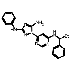 CC[C@H](Nc1cc(-n2nc(Nc3ccccc3)nc2N)ncn1)c1ccccc1